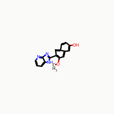 COc1cc2cc(O)ccc2cc1-c1nc2ncccc2[nH]1